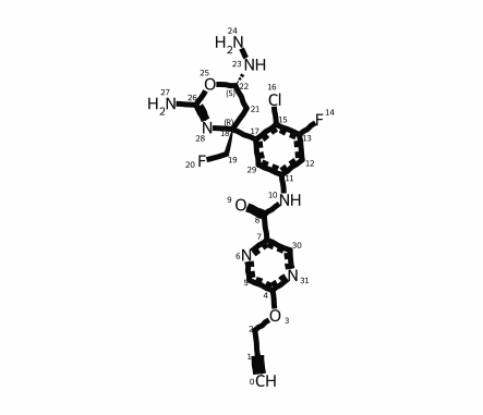 C#CCOc1cnc(C(=O)Nc2cc(F)c(Cl)c([C@@]3(CF)C[C@@H](NN)OC(N)=N3)c2)cn1